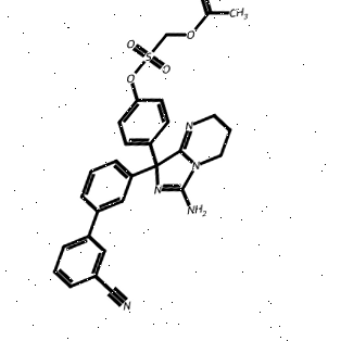 CC(=O)OCS(=O)(=O)Oc1ccc(C2(c3cccc(-c4cccc(C#N)c4)c3)N=C(N)N3CCCN=C32)cc1